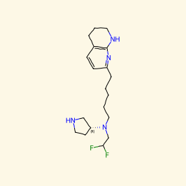 FC(F)CN(CCCCCc1ccc2c(n1)NCCC2)[C@@H]1CCNC1